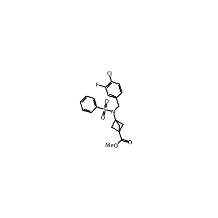 COC(=O)C12CC(N(Cc3ccc(Cl)c(F)c3)S(=O)(=O)c3ccccc3)(C1)C2